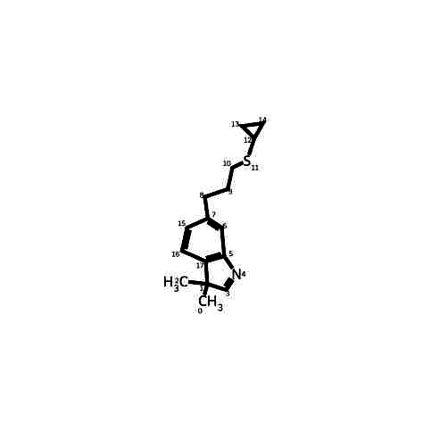 CC1(C)C=Nc2cc(CCCSC3CC3)ccc21